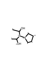 CC(O)N(C(C)O)N1CCCC1